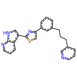 c1cncc(CCCc2cccc(-c3csc(-c4c[nH]c5ncccc45)n3)c2)c1